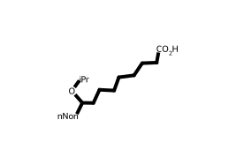 CCCCCCCCCC(CCCCCCCC(=O)O)OC(C)C